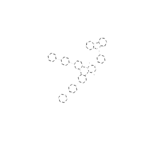 c1ccc(-c2ccc(-c3ccc4c(c3)c3cc(-c5ccc(-c6ccccc6)cc5)ccc3c3nc(-c5cccc(-n6c7ccccc7c7ccccc76)c5)cnc43)cc2)cc1